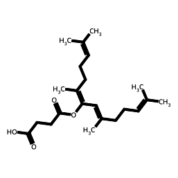 CC(C)=CCCC(C)=CC(OC(=O)CCC(=O)O)=C(C)CCC=C(C)C